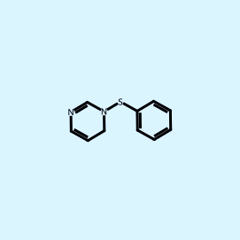 C1=CN=CN(Sc2ccccc2)C1